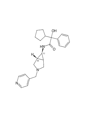 O=C(N[C@H]1C2CN(Cc3ccncc3)C[C@@H]21)C(O)(c1ccccc1)C1CCCC1